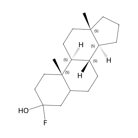 C[C@@]12CCC[C@H]1[C@@H]1CCC3CC(O)(F)CC[C@]3(C)[C@H]1CC2